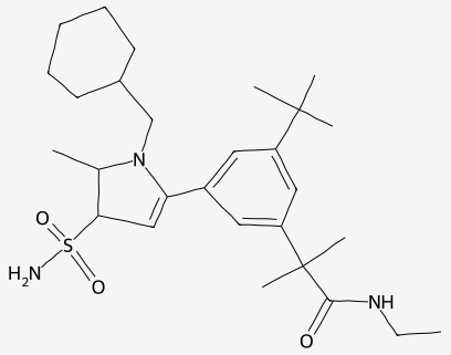 CCNC(=O)C(C)(C)c1cc(C2=CC(S(N)(=O)=O)C(C)N2CC2CCCCC2)cc(C(C)(C)C)c1